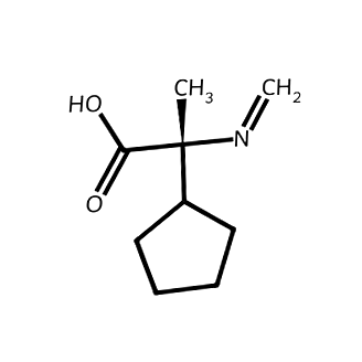 C=N[C@@](C)(C(=O)O)C1CCCC1